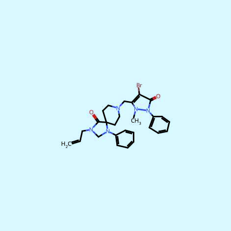 C=CCN1CN(c2ccccc2)C2(CCN(Cc3c(Br)c(=O)n(-c4ccccc4)n3C)CC2)C1=O